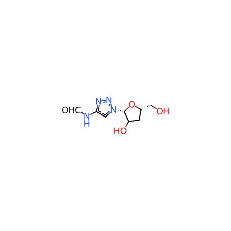 O=CNc1cn([C@@H]2O[C@H](CO)CC2O)nn1